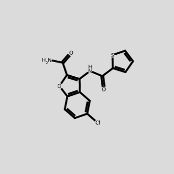 NC(=O)c1oc2ccc(Cl)cc2c1NC(=O)c1cccs1